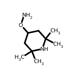 CC1(C)CC(ON)CC(C)(C)N1